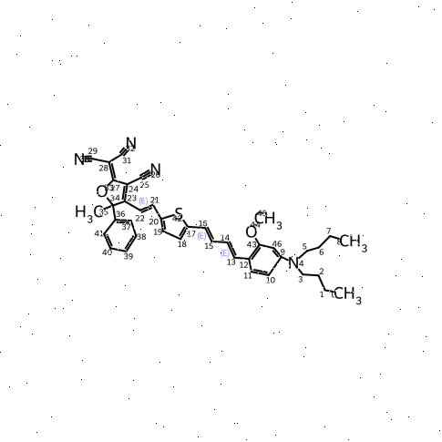 CCCCN(CCCC)c1ccc(/C=C/C=C/c2ccc(/C=C/C3=C(C#N)C(=C(C#N)C#N)OC3(C)c3ccccc3)s2)c(OC)c1